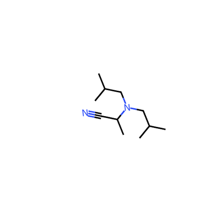 CC(C)CN(CC(C)C)C(C)C#N